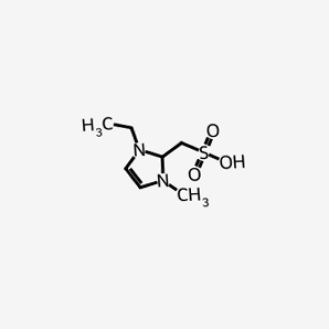 CCN1C=CN(C)C1CS(=O)(=O)O